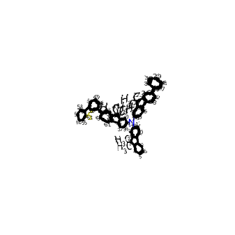 CC1(C)c2ccccc2-c2ccc(N(c3ccc4c(c3)C(C)(C)c3cc(-c5ccccc5)ccc3-4)c3ccc4c(c3)C(C)(C)c3cc(-c5cccc6c5sc5ccccc56)ccc3-4)cc21